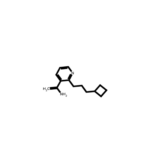 C=C(N)c1cccnc1CCCC1CCC1